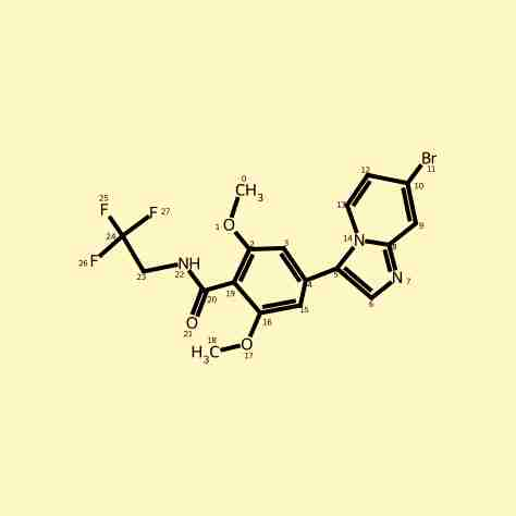 COc1cc(-c2cnc3cc(Br)ccn23)cc(OC)c1C(=O)NCC(F)(F)F